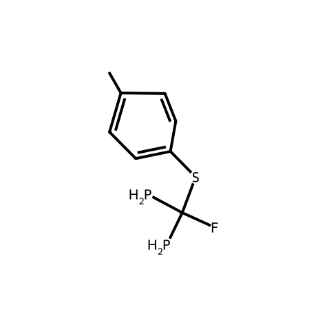 Cc1ccc(SC(F)(P)P)cc1